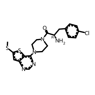 CSc1cc2ncnc(N3CCN(C(=O)[C@H](N)Cc4ccc(Cl)cc4)CC3)c2s1